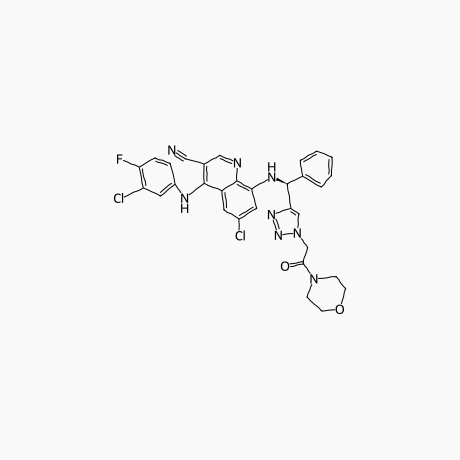 N#Cc1cnc2c(N[C@@H](c3ccccc3)c3cn(CC(=O)N4CCOCC4)nn3)cc(Cl)cc2c1Nc1ccc(F)c(Cl)c1